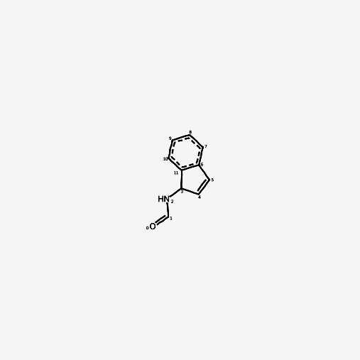 O=CNC1C=Cc2ccccc21